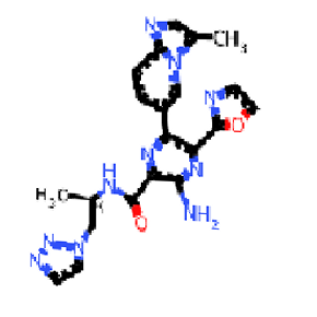 Cc1cnc2ccc(-c3nc(C(=O)N[C@H](C)Cn4ccnn4)c(N)nc3-c3ncco3)cn12